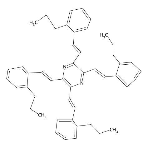 CCCc1ccccc1C=Cc1nc(C=Cc2ccccc2CCC)c(C=Cc2ccccc2CCC)nc1C=Cc1ccccc1CCC